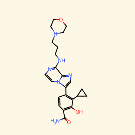 NC(=O)c1ccc(-c2cnc3c(NCCCN4CCOCC4)nccn23)c(C2CC2)c1O